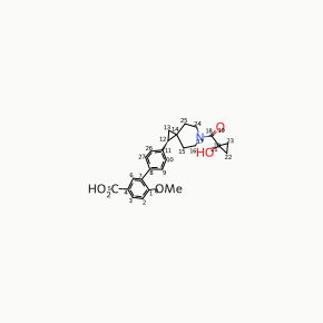 COc1ccc(C(=O)O)cc1-c1ccc([C@H]2CC23CCN(C(=O)C2(O)CC2)CC3)cc1